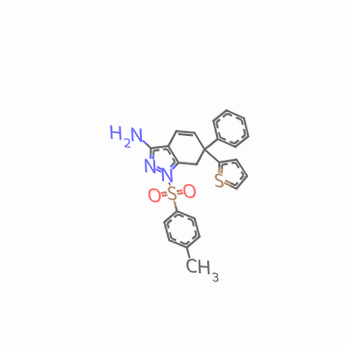 Cc1ccc(S(=O)(=O)n2nc(N)c3c2CC(c2ccccc2)(c2cccs2)C=C3)cc1